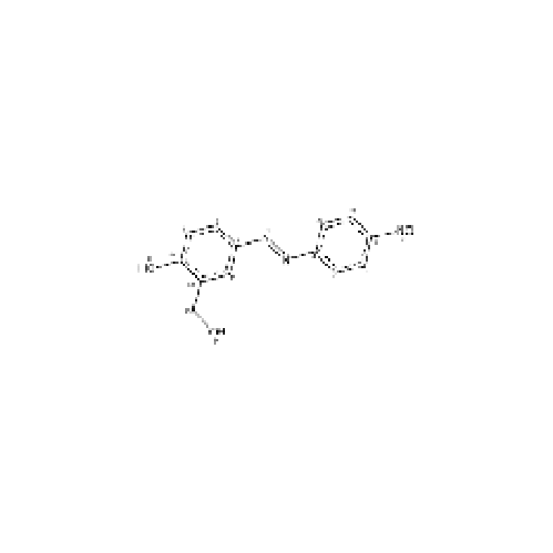 O=Nc1ccc(/N=N/c2ccc(O)c(CO)c2)cc1